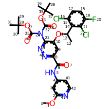 COc1cc(NC(=O)c2cc(OC(C)c3c(Cl)ccc(F)c3Cl)c(N(C(=O)OC(C)(C)C)C(=O)OC(C)(C)C)nn2)ccn1